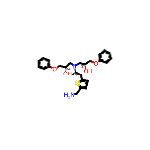 C[C@H](Cc1ccc(CN)s1)N(C[C@H](O)COc1ccccc1)C[C@H](O)COc1ccccc1